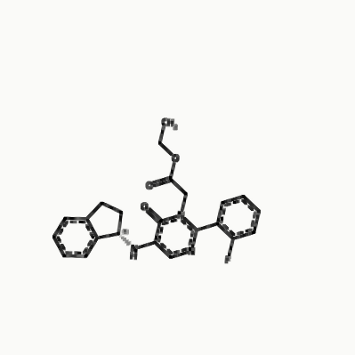 CCOC(=O)Cn1c(-c2ccccc2F)ncc(N[C@H]2CCc3ccccc32)c1=O